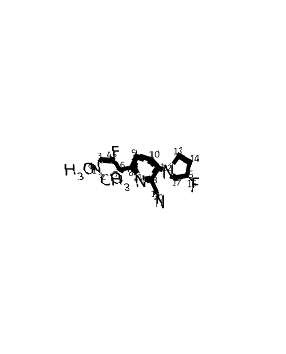 CN(C)/C=C(/F)C(=O)c1ccc(N2CC[C@H](F)C2)c(C#N)n1